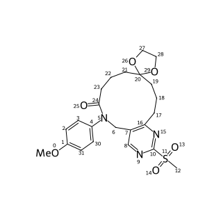 COc1ccc(N2Cc3cnc(S(C)(=O)=O)nc3CCCC3(CCCC2=O)OCCO3)cc1